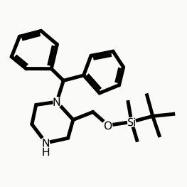 CC(C)(C)[Si](C)(C)OCC1CNCCN1C(c1ccccc1)c1ccccc1